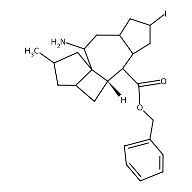 CC1CC2C[C@H]3C(C(=O)OCc4ccccc4)C4CC(I)CC4CC(N)C23C1